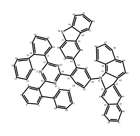 c1ccc(-c2ccccc2-c2nc(-c3ccccc3-c3ccccc3)nc(-c3ccc(-n4c5cc6ccccc6cc5c5ccc6ccccc6c54)cc3-c3ccc4sc5ccccc5c4c3)n2)cc1